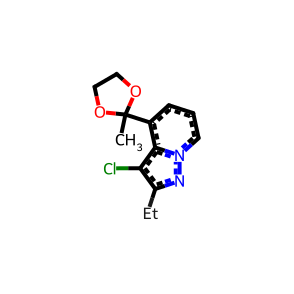 CCc1nn2cccc(C3(C)OCCO3)c2c1Cl